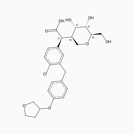 O=C(O)[C@H](c1ccc(Cl)c(Cc2ccc(OC3CCOC3)cc2)c1)[C@@H]1CO[C@H](CO)[C@@H](O)[C@H]1O